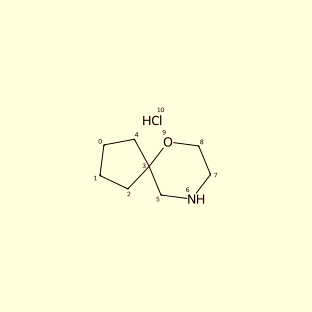 C1CCC2(C1)CNCCO2.Cl